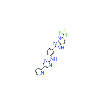 FC(F)(F)c1ccc2[nH]c(-c3cccc(Nc4ncc(-c5ccccn5)cn4)c3)nc2n1